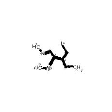 CCC(CI)C(C=NO)=NO